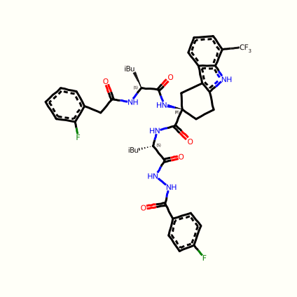 CCC(C)[C@H](NC(=O)Cc1ccccc1F)C(=O)N[C@]1(C(=O)N[C@H](C(=O)NNC(=O)c2ccc(F)cc2)C(C)CC)CCc2[nH]c3c(C(F)(F)F)cccc3c2C1